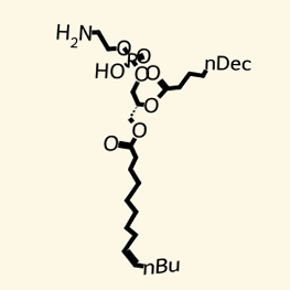 CCCC/C=C\CCCCCCCC(=O)OC[C@H](COP(=O)(O)OCCN)OC(=O)CCCCCCCCCCCCC